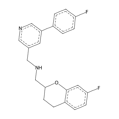 Fc1ccc(-c2cncc(CNCC3CCc4ccc(F)cc4O3)c2)cc1